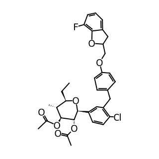 CC[C@H]1O[C@@H](c2ccc(Cl)c(Cc3ccc(OCC4Cc5cccc(F)c5O4)cc3)c2)[C@H](OC(C)=O)[C@@H](OC(C)=O)[C@@H]1C